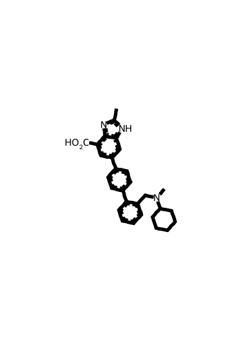 Cc1nc2c(C(=O)O)cc(-c3ccc(-c4ccccc4CN(C)C4CCCCC4)cc3)cc2[nH]1